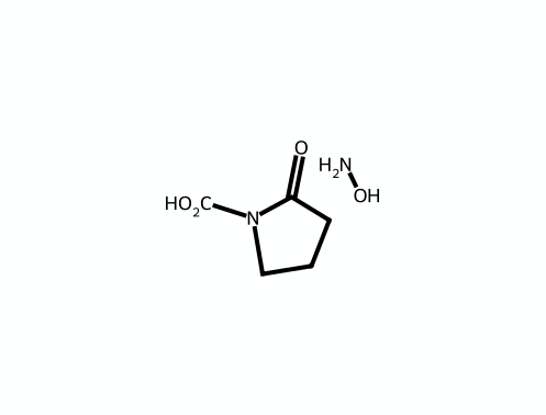 NO.O=C(O)N1CCCC1=O